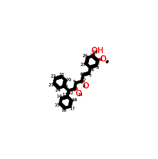 COc1cc(C=CC(=O)CC(=O)C(c2ccccc2)c2ccccc2)ccc1O